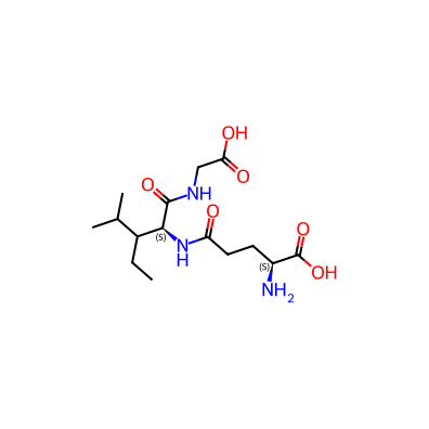 CCC(C(C)C)[C@H](NC(=O)CC[C@H](N)C(=O)O)C(=O)NCC(=O)O